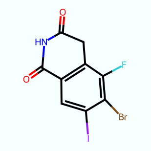 O=C1Cc2c(cc(I)c(Br)c2F)C(=O)N1